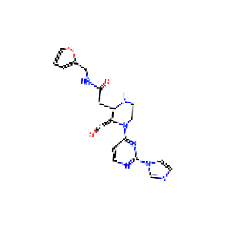 O=C=C1C(CC(=O)NCc2ccco2)NCCN1c1ccnc(-n2ccnc2)n1